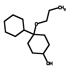 CCCOC1(C2CCCCC2)CCC(O)CC1